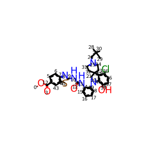 COC(=O)c1ccc2nc(NC(=O)Nc3ccccc3N3CC4(CCN(CC(C)(C)C)CC4)c4c(Cl)ccc(O)c43)sc2c1